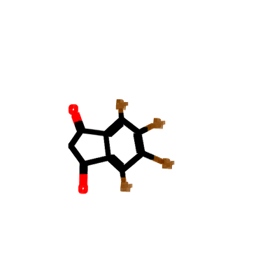 O=C1CC(=O)c2c(Br)c(Br)c(Br)c(Br)c21